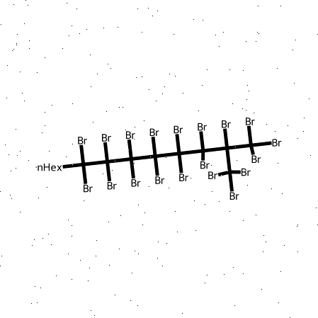 CCCCC[CH]C(Br)(Br)C(Br)(Br)C(Br)(Br)C(Br)(Br)C(Br)(Br)C(Br)(Br)C(Br)(C(Br)(Br)Br)C(Br)(Br)Br